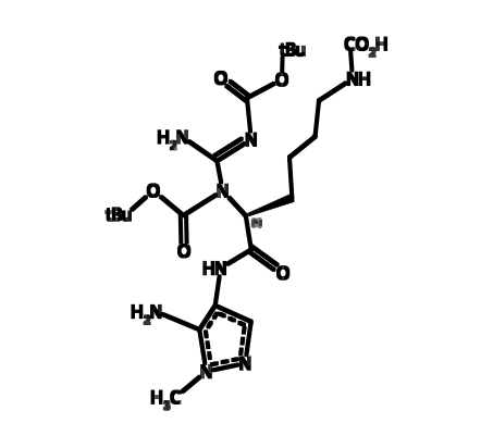 Cn1ncc(NC(=O)[C@H](CCCCNC(=O)O)N(C(=O)OC(C)(C)C)C(N)=NC(=O)OC(C)(C)C)c1N